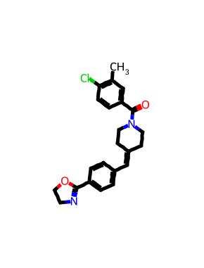 Cc1cc(C(=O)N2CCC(=Cc3ccc(C4=NCCO4)cc3)CC2)ccc1Cl